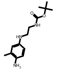 Cc1cc(NCCNC(=O)OC(C)(C)C)ccc1N